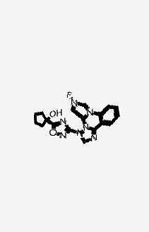 OC1(c2nc(N3CN=C4c5ccccc5N5CN(F)C=C5N43)no2)CCCC1